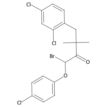 CC(C)(Cc1ccc(Cl)cc1Cl)C(=O)C(Br)Oc1ccc(Cl)cc1